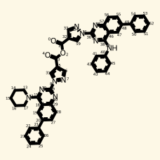 O=C(OC(=O)c1cnn(-c2nc(N3CCCCC3)c3cc(-c4ccccc4)ccc3n2)c1)c1cnn(-c2nc(Nc3ccccc3)c3cc(-c4ccccc4)ccc3n2)c1